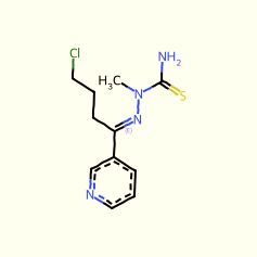 CN(/N=C(\CCCCl)c1cccnc1)C(N)=S